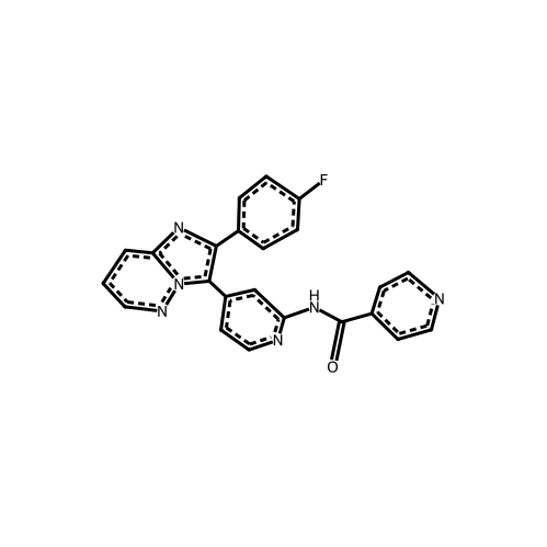 O=C(Nc1cc(-c2c(-c3ccc(F)cc3)nc3cccnn23)ccn1)c1ccncc1